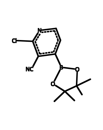 CC1(C)OB(c2ccnc(Cl)c2C#N)OC1(C)C